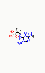 CCNC1N=CN(N)C(NCC(C)[Si](O)(O)O)N1N